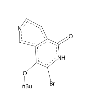 CCCCOc1c(Br)[nH]c(=O)c2ccncc12